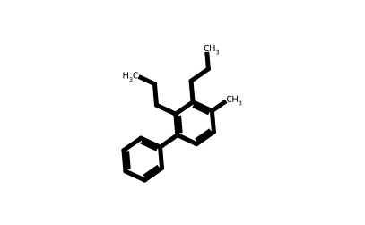 CCCc1c(C)ccc(-c2ccccc2)c1CCC